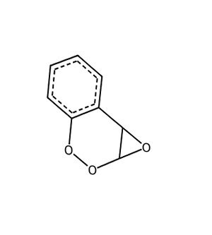 c1ccc2c(c1)OOC1OC21